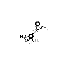 Cc1cc(OC[C@@H]2CN(C)c3ccccc3O2)cc(C)c1C(=O)Cl